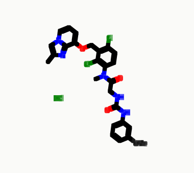 COc1cccc(NC(=O)NCC(=O)N(C)c2ccc(Cl)c(COc3cccn4cc(C)nc34)c2Cl)c1.Cl